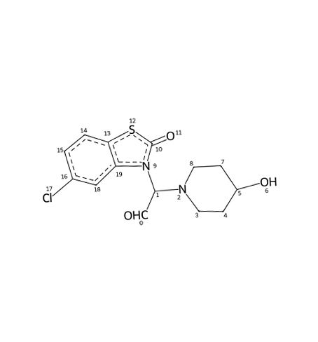 O=CC(N1CCC(O)CC1)n1c(=O)sc2ccc(Cl)cc21